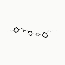 COc1ccc(CC(=O)Nc2cn(C3CC(c4cccc(CN(C)C)c4)C3)cn2)cc1